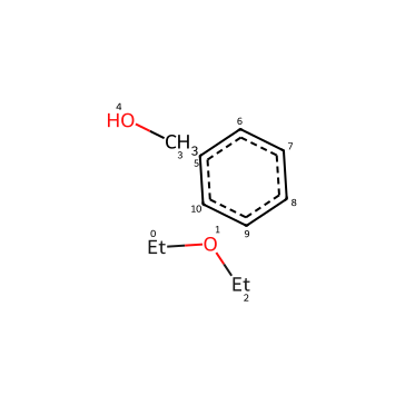 CCOCC.CO.c1ccccc1